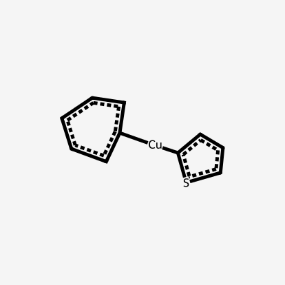 c1cc[c]([Cu][c]2cccs2)cc1